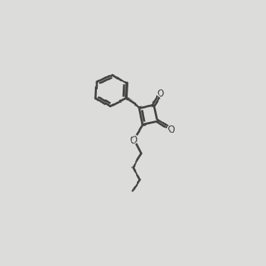 CCCCOc1c(-c2ccccc2)c(=O)c1=O